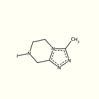 Cc1nnc2n1CCN(I)C2